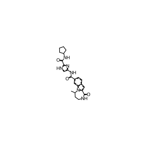 CC1CCNC(=O)c2cc3ccc(C(=O)Nc4c[nH]c(C(=O)NC5CCCC5)n4)cc3n21